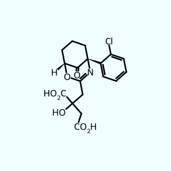 O=C(O)CC(O)(CC1=N[C@@]2(c3ccccc3Cl)CCC[C@@H](O1)C2=O)C(=O)O